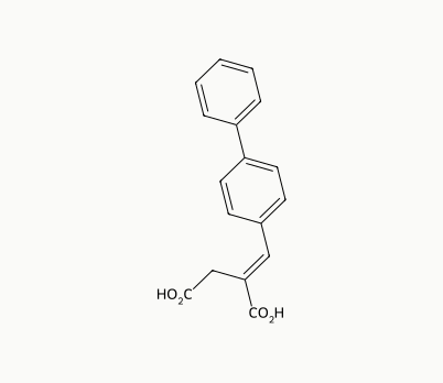 O=C(O)CC(=Cc1ccc(-c2ccccc2)cc1)C(=O)O